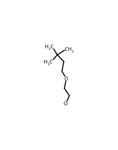 CC(C)(C)CCOCC[O]